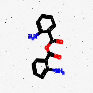 Nc1ccccc1C(=O)OC(=O)c1ccccc1N